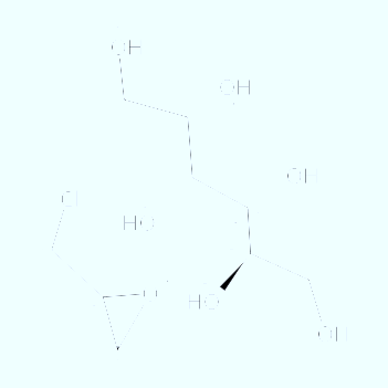 ClCC1CO1.OC[C@@H](O)[C@@H](O)[C@H](O)[C@@H](O)CO